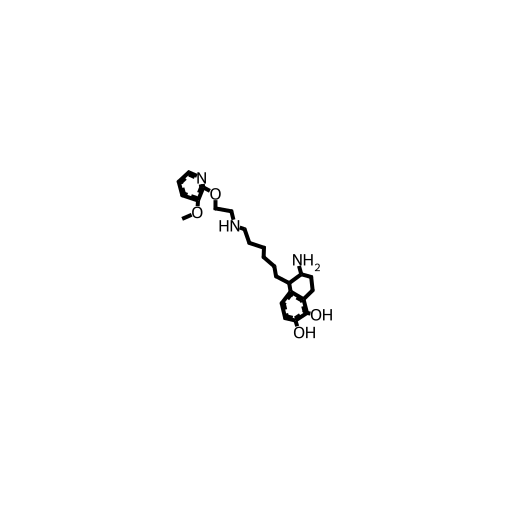 COc1cccnc1OCCNCCCCCCC1c2ccc(O)c(O)c2CCC1N